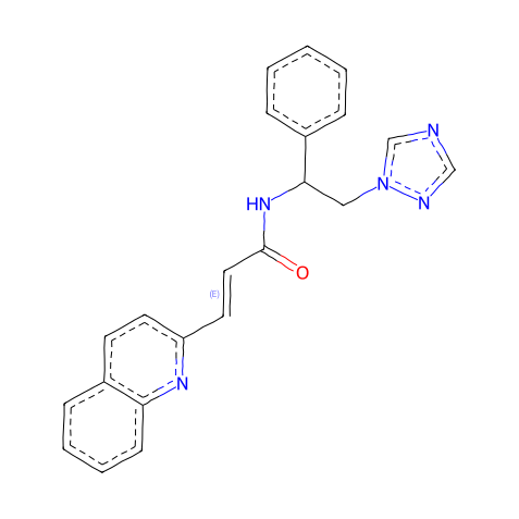 O=C(/C=C/c1ccc2ccccc2n1)NC(Cn1cncn1)c1ccccc1